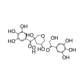 O=C(c1cc(O)c(O)c(O)c1)C(O)[C@H]1OC[C@@](O)(C(=O)c2cc(O)c(O)c(O)c2)[C@@H](O)[C@@H]1O